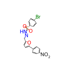 O=[N+]([O-])c1ccc(-c2ccc(C=NNS(=O)(=O)c3ccc(Br)cc3)o2)cc1